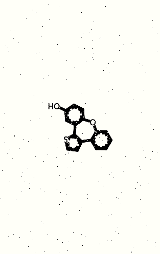 Oc1ccc2c(c1)-c1sccc1-c1ccccc1O2